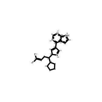 FC(F)=CCC(C1CCCC1)C1C=C(c2ncnc3[nH]ccc23)C=N1